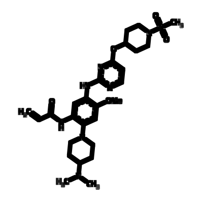 C=CC(=O)Nc1cc(Nc2nccc(OC3CCN(S(C)(=O)=O)CC3)n2)c(OC)cc1N1CCC(N(C)C)CC1